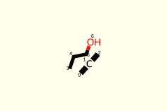 C=C=C.CCCO